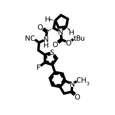 CN1C(=O)Cc2ccc(-c3csc(CC(C#N)NC(=O)[C@@H]4[C@H]5CC[C@H](C5)N4C(=O)OC(C)(C)C)c3F)cc21